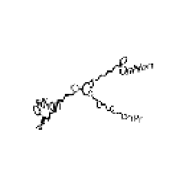 CCCCCCCCCOC(=O)CCCCCCCOCC(COCCOCCOCCOCCC)OCCCCCCCC(OCCCCCCCCC)=C1CC1